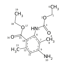 CCOC(=O)Nc1c(C)c(N)cc(C)c1C(=O)OCC